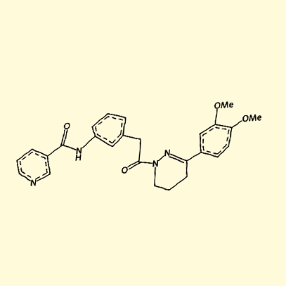 COc1ccc(C2=NN(C(=O)Cc3cccc(NC(=O)c4cccnc4)c3)CCC2)cc1OC